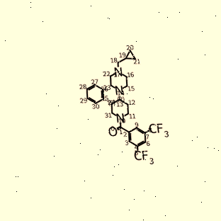 O=C(c1cc(C(F)(F)F)cc(C(F)(F)F)c1)N1CC[C@@H](N2CCN(CC3CC3)CC2)[C@@H](c2ccccc2)C1